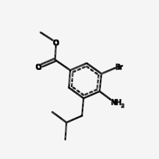 COC(=O)c1cc(Br)c(N)c(CC(C)C)c1